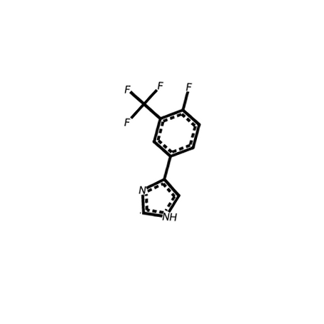 Fc1ccc(-c2c[nH][c]n2)cc1C(F)(F)F